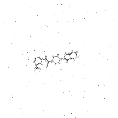 COc1cccc(NC(=S)N2CCC(c3nc4ccccc4o3)CC2)c1